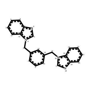 c1cc(Cn2cnc3ccccc32)cc(Cn2cnc3ccccc32)c1